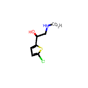 O=C(O)NCC(O)c1ccc(Cl)s1